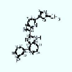 Cc1ncc(-c2ccc3c(n2)C(c2nc4c(-c5cccc(F)c5)nccc4[nH]2)=N3)s1